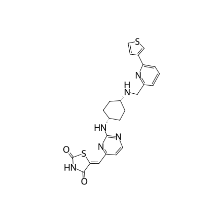 O=C1NC(=O)C(=Cc2ccnc(N[C@H]3CC[C@@H](NCc4cccc(-c5ccsc5)n4)CC3)n2)S1